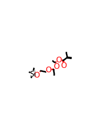 C=C(C)C(=O)OC(C)OC(C)OCCO[Si](C)(C)C